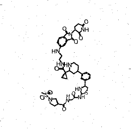 CS(=O)(=O)N1CCC(C(=O)NCC(=O)NC2NC(c3cccc(C4CCNC(C5(C(=O)NCCNc6ccc7c(c6)C(=O)N(C6CCC(=O)NC6=O)C7=O)CC5)C4)c3)CS2)C1